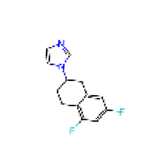 Fc1cc(F)c2c(c1)CC(n1ccnc1)CC2